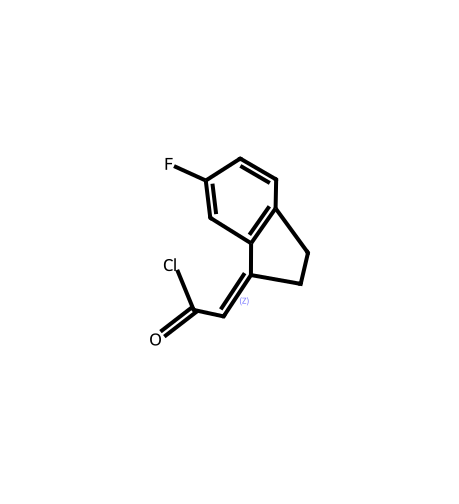 O=C(Cl)/C=C1/CCc2ccc(F)cc21